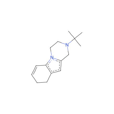 CC(C)(C)N1CCn2c(cc3c2C=CCC3)C1